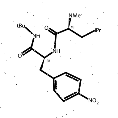 CN[C@@H](CC(C)C)C(=O)N[C@@H](Cc1ccc([N+](=O)[O-])cc1)C(=O)NC(C)(C)C